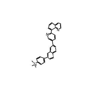 C[Si](C)(C)c1ccc(-c2ccc3ccc(-c4ccc(-c5cccc6cccnc56)nc4)cc3c2)cc1